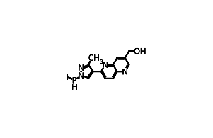 Cc1nn(PI)cc1-c1ccc2ncc(CO)cc2n1